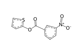 O=C(Oc1cccs1)c1cccc([N+](=O)[O-])c1